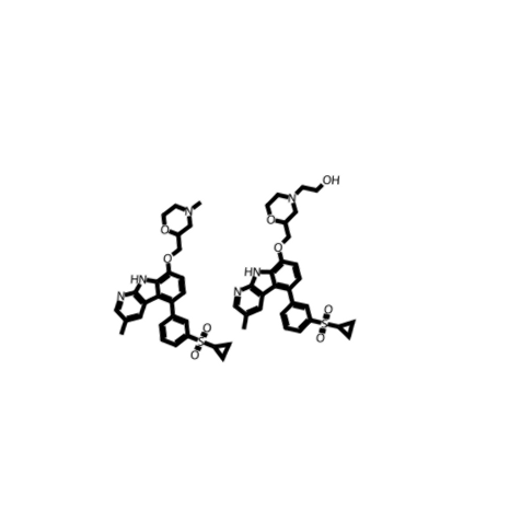 Cc1cnc2[nH]c3c(OCC4CN(C)CCO4)ccc(-c4cccc(S(=O)(=O)C5CC5)c4)c3c2c1.Cc1cnc2[nH]c3c(OCC4CN(CCO)CCO4)ccc(-c4cccc(S(=O)(=O)C5CC5)c4)c3c2c1